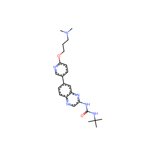 CN(C)CCCOc1ccc(-c2ccc3ncc(NC(=O)NC(C)(C)C)nc3c2)cn1